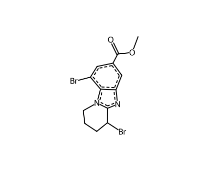 COC(=O)c1cc(Br)c2c(c1)nc1n2CCCC1Br